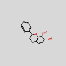 Oc1ccc2c(c1O)OC(c1ccccc1)CC2